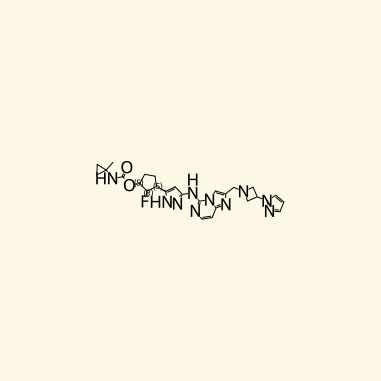 CC1(NC(=O)O[C@H]2CC[C@@H](c3cc(Nc4nccc5nc(CN6CC(n7cccn7)C6)cn45)n[nH]3)[C@H]2F)CC1